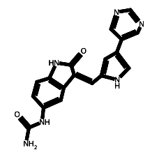 NC(=O)Nc1ccc2c(c1)/C(=C/c1cc(-c3cncnc3)c[nH]1)C(=O)N2